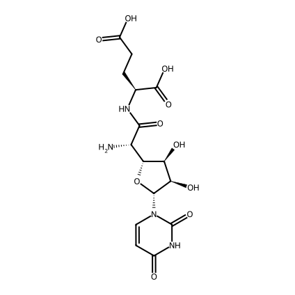 N[C@H](C(=O)N[C@@H](CCC(=O)O)C(=O)O)[C@H]1O[C@@H](n2ccc(=O)[nH]c2=O)[C@H](O)[C@@H]1O